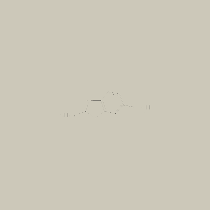 CCCCCCC1Cc2cc(C(=O)O)ccc2O1